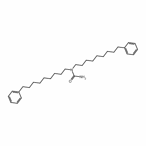 NC(=O)N(CCCCCCCCCc1ccccc1)CCCCCCCCCc1ccccc1